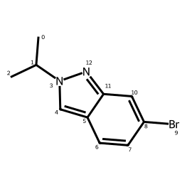 CC(C)n1cc2ccc(Br)cc2n1